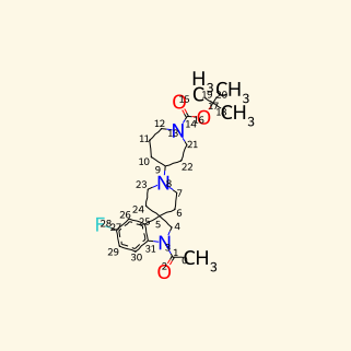 CC(=O)N1CC2(CCN(C3CCCN(C(=O)OC(C)(C)C)CC3)CC2)c2cc(F)ccc21